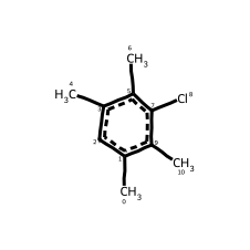 Cc1[c]c(C)c(C)c(Cl)c1C